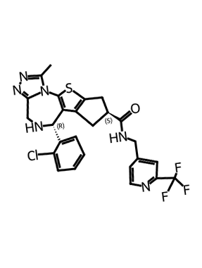 Cc1nnc2n1-c1sc3c(c1[C@H](c1ccccc1Cl)NC2)C[C@H](C(=O)NCc1ccnc(C(F)(F)F)c1)C3